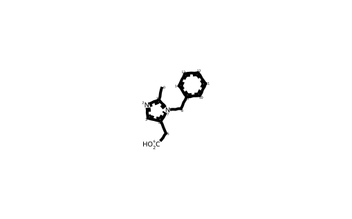 Cc1ncc(CC(=O)O)n1Cc1ccccc1